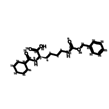 O=C(NCCCC[C@H](NC(=O)C1CCCCC1)C(=O)O)OCc1ccccc1